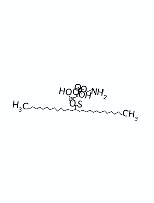 CCCCCCCCCCCCCCC(CCCCCCCCCCCCCC)C(=S)O[C@@H](CO)COP(=O)(O)OCCN